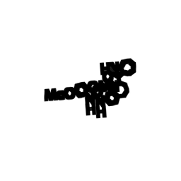 COc1ccc(OC)c(NC(=O)Nc2ccc3c(c2)N=C(c2c4cccccc-4[nH]c2=O)CCC3)c1